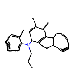 CCCN(c1ccccc1C)C1C=C(C)C(C)C2=C1CC1C=CC=CC21